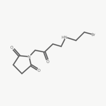 O=C(CCNCCBr)CN1C(=O)CCC1=O